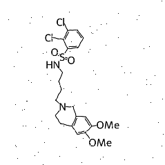 COc1cc2c(cc1OC)CN(CCCCNS(=O)(=O)c1cccc(Cl)c1Cl)CC2